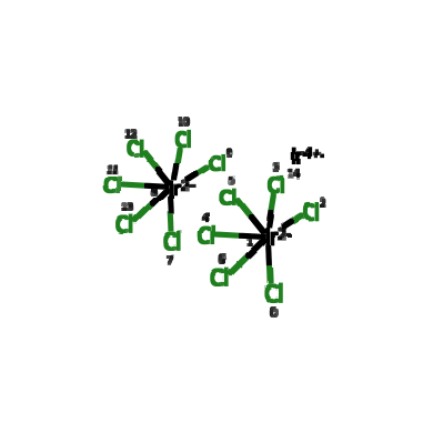 [Cl][Ir-2]([Cl])([Cl])([Cl])([Cl])[Cl].[Cl][Ir-2]([Cl])([Cl])([Cl])([Cl])[Cl].[Ir+4]